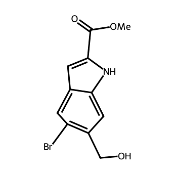 COC(=O)c1cc2cc(Br)c(CO)cc2[nH]1